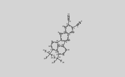 N#Cc1nc2nc3c(nc2nc1C#N)-c1ccc(C(F)(F)F)c2c(C(F)(F)F)ccc-3c12